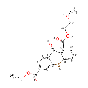 CCOC(=O)c1ccc2c(=O)c3c(C(=O)OCCOC)cccc3sc2c1